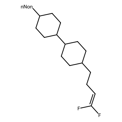 CCCCCCCCCC1CCC(C2CCC(CCC=C(F)F)CC2)CC1